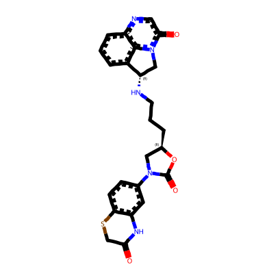 O=C1CSc2ccc(N3C[C@@H](CCCN[C@H]4Cn5c(=O)cnc6cccc4c65)OC3=O)cc2N1